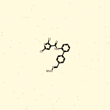 CO/N=C/c1ccc(-c2ccccc2NC(=O)c2cc(Cl)sc2Cl)cc1